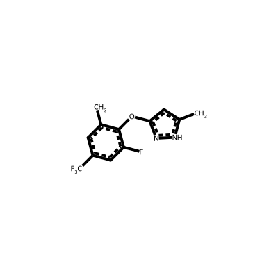 Cc1cc(Oc2c(C)cc(C(F)(F)F)cc2F)n[nH]1